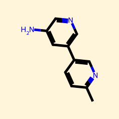 Cc1ccc(-c2cncc(N)c2)cn1